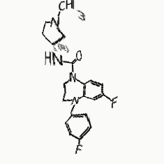 CN1CC[C@@H](NC(=O)N2CCN(c3ccc(F)cc3)c3cc(F)ccc32)C1